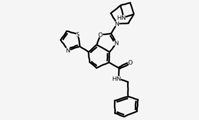 O=C(NCc1ccccc1)c1ccc(-c2nccs2)c2oc(N3CC4CC(C3)N4)nc12